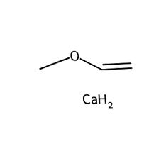 C=COC.[CaH2]